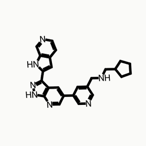 c1cc2cc(-c3n[nH]c4ncc(-c5cncc(CNCC6CCCC6)c5)cc34)[nH]c2cn1